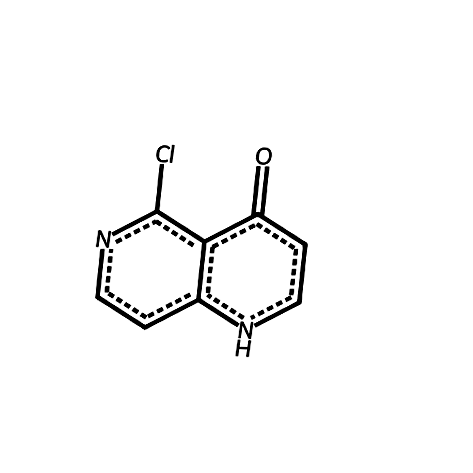 O=c1cc[nH]c2ccnc(Cl)c12